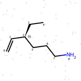 C=C[C@@H](CC)CCCN